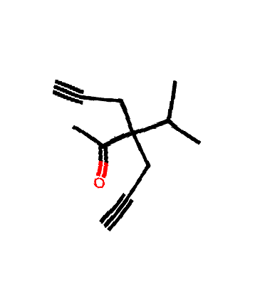 C#CCC(CC#C)(C(C)=O)C(C)C